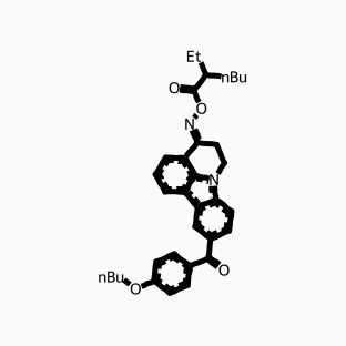 CCCCOc1ccc(C(=O)c2ccc3c(c2)c2cccc4c2n3CC/C4=N\OC(=O)C(CC)CCCC)cc1